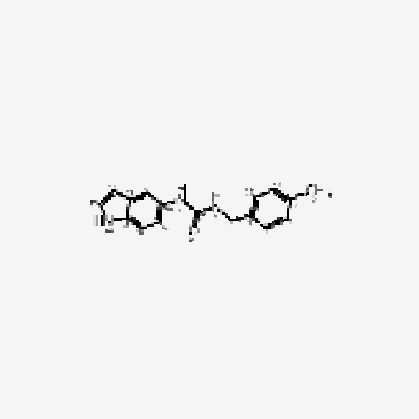 Cc1ccc(CNC(=O)Nc2ccc3[nH]ccc3c2)cc1